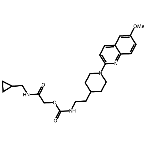 COc1ccc2nc(N3CCC(CCNC(=O)OCC(=O)NCC4CC4)CC3)ccc2c1